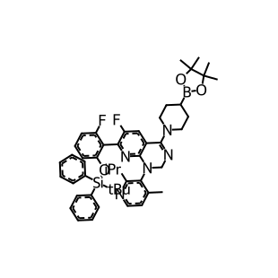 Cc1ccnc(C(C)C)c1N1CN=C(N2CCC(B3OC(C)(C)C(C)(C)O3)CC2)c2cc(F)c(-c3c(F)cccc3O[Si](c3ccccc3)(c3ccccc3)C(C)(C)C)nc21